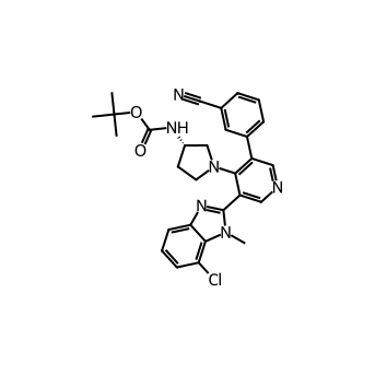 Cn1c(-c2cncc(-c3cccc(C#N)c3)c2N2CC[C@H](NC(=O)OC(C)(C)C)C2)nc2cccc(Cl)c21